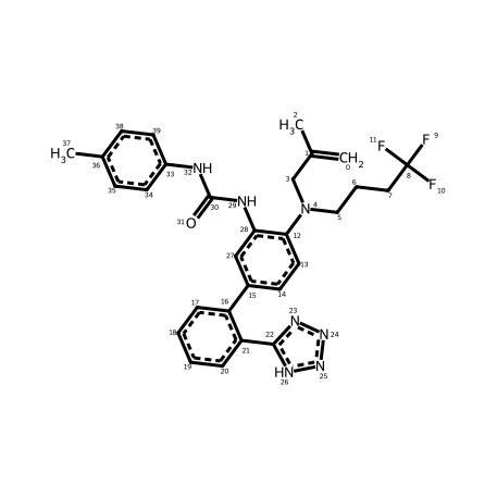 C=C(C)CN(CCCC(F)(F)F)c1ccc(-c2ccccc2-c2nnn[nH]2)cc1NC(=O)Nc1ccc(C)cc1